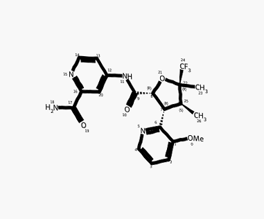 COc1cccnc1[C@@H]1[C@H](C(=O)Nc2ccnc(C(N)=O)c2)O[C@@](C)(C(F)(F)F)[C@H]1C